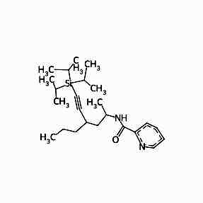 CCCC(C#C[Si](C(C)C)(C(C)C)C(C)C)CC(C)NC(=O)c1ccccn1